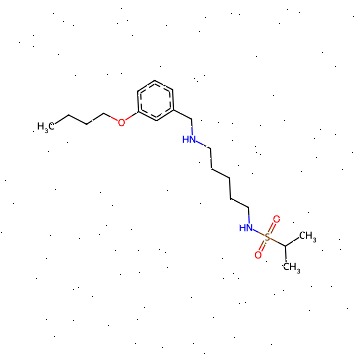 CCCCOc1cccc(CNCCCCCNS(=O)(=O)C(C)C)c1